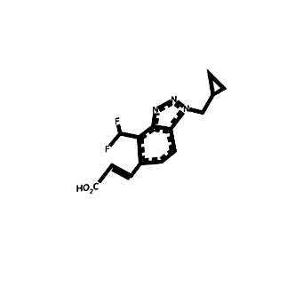 O=C(O)C=Cc1ccc2c(nnn2CC2CC2)c1C(F)F